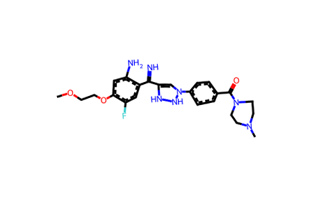 COCCOc1cc(N)c(C(=N)C2=CN(c3ccc(C(=O)N4CCN(C)CC4)cc3)NN2)cc1F